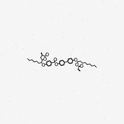 C=CC(=O)OC(CCCCCCCC)Oc1ccc(-c2ccc(OC(=O)c3ccc(OC(CCCCCC)C4CC(=C)C(=O)O4)cc3)cc2)cc1